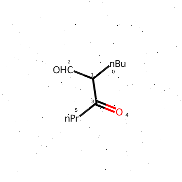 CCCCC(C=O)C(=O)CCC